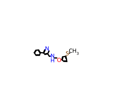 CCSc1cccc(OCCNCc2cncc(-c3ccccc3)c2)c1